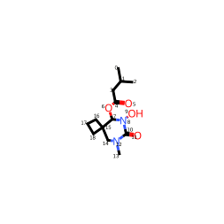 CC(C)CC(=O)OC1N(O)C(=O)N(C)CC12CCC2